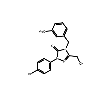 COc1cccc(Cn2c(CO)nn(-c3ccc(Br)cc3)c2=O)c1